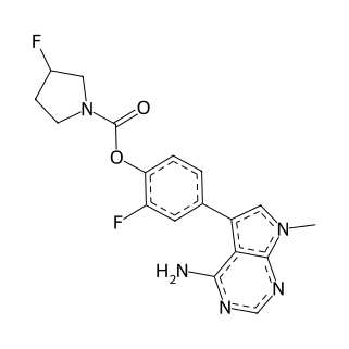 Cn1cc(-c2ccc(OC(=O)N3CCC(F)C3)c(F)c2)c2c(N)ncnc21